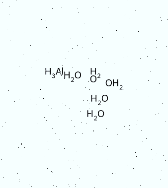 O.O.O.O.O.[AlH3]